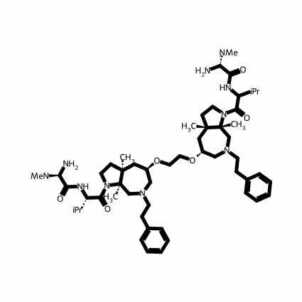 CN[C@@H](N)C(=O)NC(C(=O)N1CC[C@@]2(C)C[C@@H](OCCO[C@H]3CN(CCc4ccccc4)C[C@@]4(C)N(C(=O)[C@@H](NC(=O)[C@H](N)NC)C(C)C)CC[C@@]4(C)C3)CN(CCc3ccccc3)C[C@@]12C)C(C)C